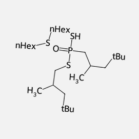 CC(CSP(=O)(S)CC(C)CC(C)(C)C)CC(C)(C)C.CCCCCCSCCCCCC